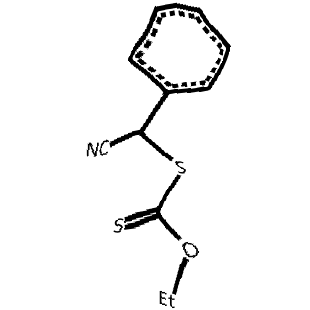 CCOC(=S)SC(C#N)c1ccccc1